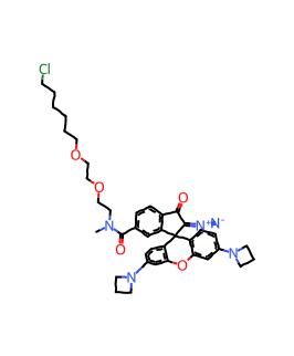 CN(CCOCCOCCCCCCCl)C(=O)c1ccc2c(c1)C1(C(=[N+]=[N-])C2=O)c2ccc(N3CCC3)cc2Oc2cc(N3CCC3)ccc21